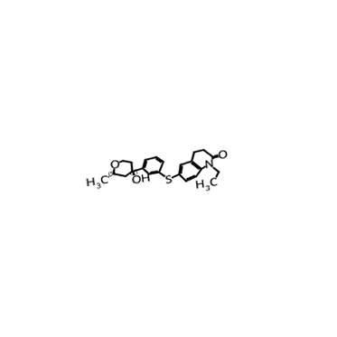 CCN1C(=O)CCc2cc(Sc3cccc([C@@]4(O)CCO[C@@H](C)C4)c3)ccc21